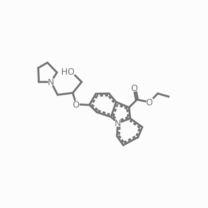 CCOC(=O)c1c2ccc(OC(CO)CN3CCCC3)cc2n2ccccc12